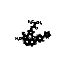 Cc1nn(CC(=O)N(C)C)cc1-n1c(=O)n(C)c2cnc3ccc(-c4ccc(-n5cccn5)cc4)cc3c21